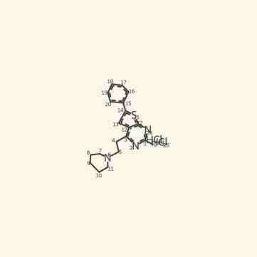 Cc1nc(CCN2CCCCC2)c2cc(-c3ccccc3)sc2n1.Cl.Cl